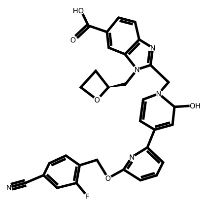 N#Cc1ccc(COc2cccc(C3=CC(O)N(Cc4nc5ccc(C(=O)O)cc5n4C[C@@H]4CCO4)C=C3)n2)c(F)c1